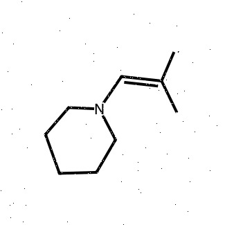 [CH2]C(C)=CN1CCCCC1